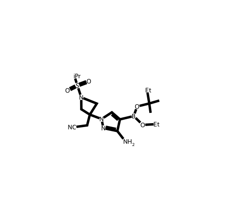 CCOB(OC(C)(C)CC)c1cn(C2(CC#N)CN(S(=O)(=O)C(C)C)C2)nc1N